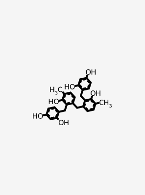 Cc1ccc(Cc2ccc(C)c(O)c2Cc2ccc(O)cc2O)c(Cc2ccc(O)cc2O)c1O